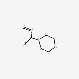 C=CC([S])C1CCCCC1